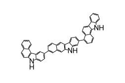 c1ccc2c(c1)ccc1[nH]c3ccc(-c4ccc5cc6c(cc5c4)[nH]c4cc(-c5cccc7c5ccc5c8ccccc8[nH]c75)ccc46)cc3c12